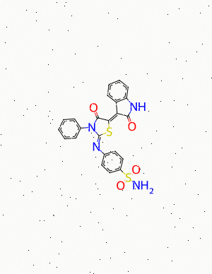 NS(=O)(=O)c1ccc(/N=C2\S/C(=C3\C(=O)Nc4ccccc43)C(=O)N2c2ccccc2)cc1